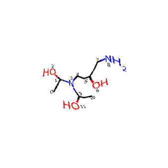 CC(O)N(CC(O)CN)C(C)O